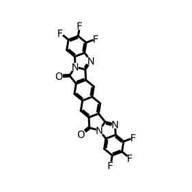 O=c1c2cc3cc4c(=O)n5c6cc(F)c(F)c(F)c6nc5c4cc3cc2c2nc3c(F)c(F)c(F)cc3n12